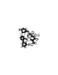 O=C(O)C1=CN2C(C(=O)N(Cc3ccc(F)cc3)CN2Cc2ccccc2-c2ccccc2)C(O)C1=O